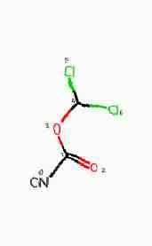 [C-]#[N+]C(=O)OC(Cl)Cl